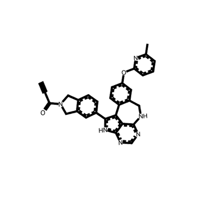 C#CC(=O)N1Cc2ccc(-c3[nH]c4ncnc5c4c3-c3ccc(Oc4cccc(C)n4)cc3CN5)cc2C1